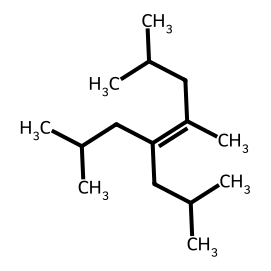 CC(CC(C)C)=C(CC(C)C)CC(C)C